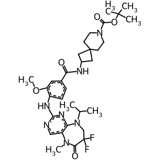 COc1cc(C(=O)NC2CC3(CCN(C(=O)OC(C)(C)C)CC3)C2)ccc1Nc1ncc2c(n1)N(C(C)C)CC(F)(F)C(=O)N2C